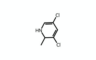 CC1NC=C(Cl)C=C1Cl